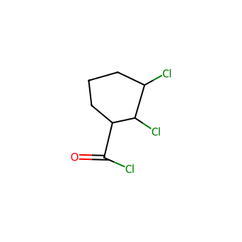 O=C(Cl)C1CCCC(Cl)C1Cl